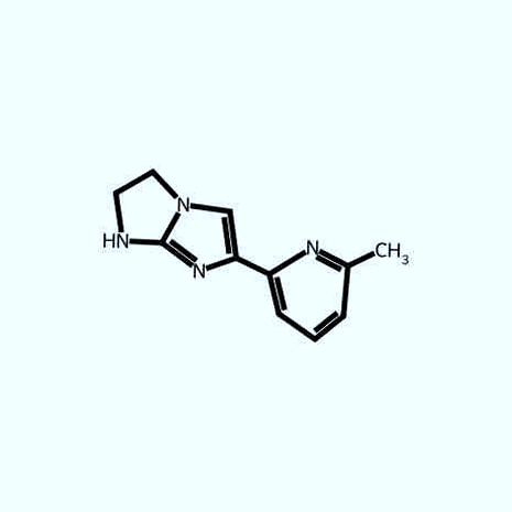 Cc1cccc(-c2cn3c(n2)NCC3)n1